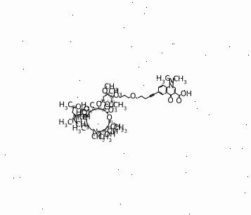 CC[C@H]1OC(=O)[C@H](C)[C@@H](O[C@H]2C[C@@](C)(OC)[C@@H](OCCCOCCCC#Cc3ccc4c(c3)c(=O)c(C(=O)O)cn4N(C)C)[C@H](C)O2)[C@H](C)[C@@H](O[C@@H]2O[C@H](C)C[C@H](N(C)C)[C@H]2O)[C@](C)(O)C[C@@H](C)CN(C)[C@H](C)[C@@H](O)[C@]1(C)O